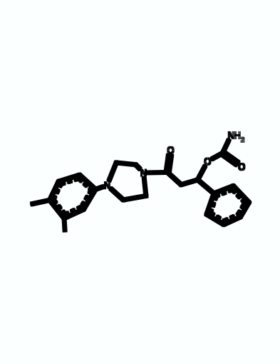 Cc1ccc(N2CCN(C(=O)CC(OC(N)=O)c3ccccc3)CC2)cc1C